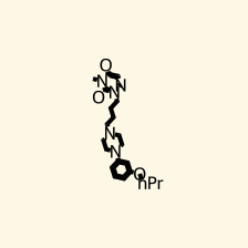 CCCOc1cccc(N2CCN(CCCCn3ncc(=O)n(C)c3=O)CC2)c1